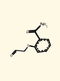 NC(=O)c1ccccc1OC[C]=O